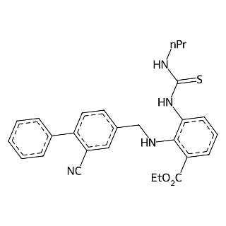 CCCNC(=S)Nc1cccc(C(=O)OCC)c1NCc1ccc(-c2ccccc2)c(C#N)c1